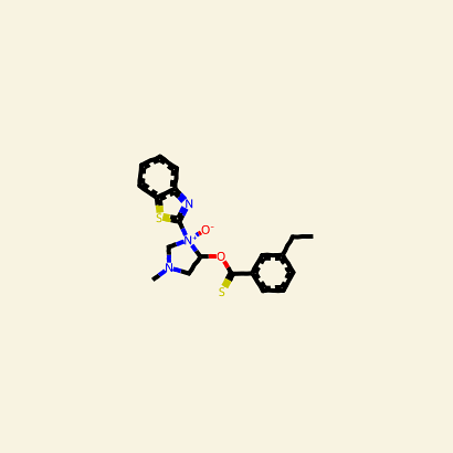 CCc1cccc(C(=S)OC2CN(C)C[N+]2([O-])c2nc3ccccc3s2)c1